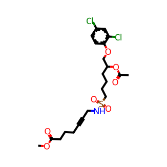 COC(=O)CCCC#CCNS(=O)(=O)CCCCC(COc1ccc(Cl)cc1Cl)OC(C)=O